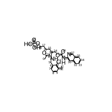 CC(=O)N(NCc1cccc(F)c1Cl)[C@@H](CCCCOP(=O)(O)O)COC(=O)Nc1cc2ccccc2cn1